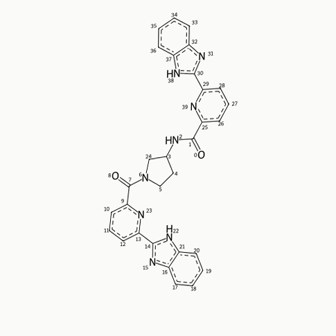 O=C(NC1CCN(C(=O)c2cccc(-c3nc4ccccc4[nH]3)n2)C1)c1cccc(-c2nc3ccccc3[nH]2)n1